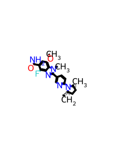 C=C[C@H]1CC[C@H](C)N1c1ccc(-c2nc3c(F)c(C(N)=O)cc(OC)c3n2C)cn1